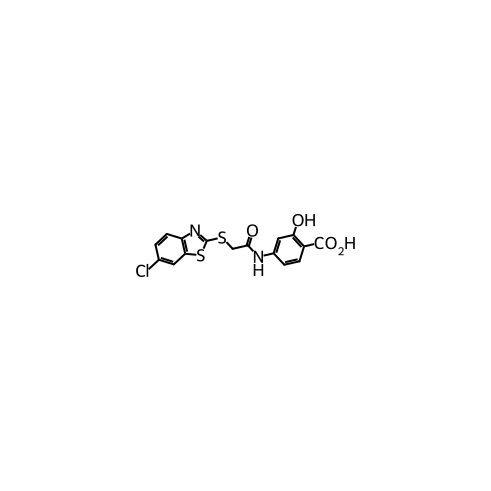 O=C(CSc1nc2ccc(Cl)cc2s1)Nc1ccc(C(=O)O)c(O)c1